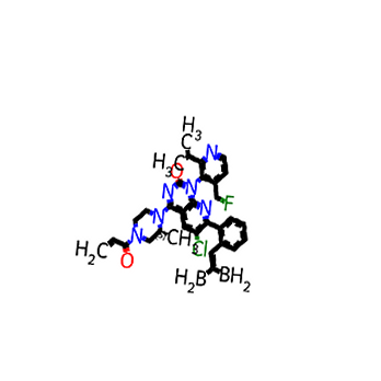 BC(B)=Cc1ccccc1-c1nc2c(cc1Cl)c(N1CCN(C(=O)C=C)C[C@@H]1C)nc(=O)n2-c1c(CF)ccnc1C(C)C